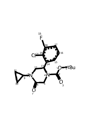 CC(C)(C)OC(=O)N1CC(=O)N(C2CC2)CC1c1cccc(F)c1Cl